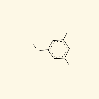 O=[C]Oc1cc(C(F)(F)F)cc(C(F)(F)F)c1